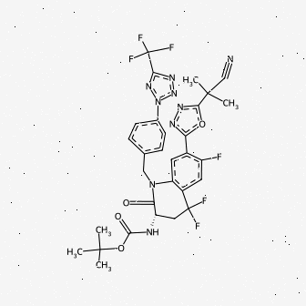 CC(C)(C)OC(=O)N[C@H]1CC(F)(F)c2cc(F)c(-c3nnc(C(C)(C)C#N)o3)cc2N(Cc2ccc(-n3nnc(C(F)(F)F)n3)cc2)C1=O